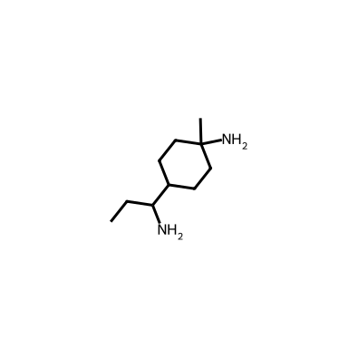 CCC(N)C1CCC(C)(N)CC1